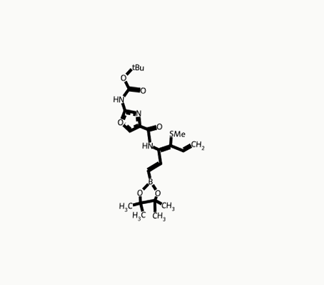 C=C/C(SC)=C(\C=C\B1OC(C)(C)C(C)(C)O1)NC(=O)c1coc(NC(=O)OC(C)(C)C)n1